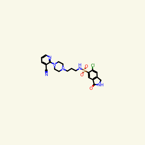 N#Cc1cccnc1N1CCN(CCCNS(=O)(=O)c2cc3c(cc2Cl)CNC3=O)CC1